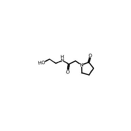 O=C(CN1CCCC1=O)NCCO